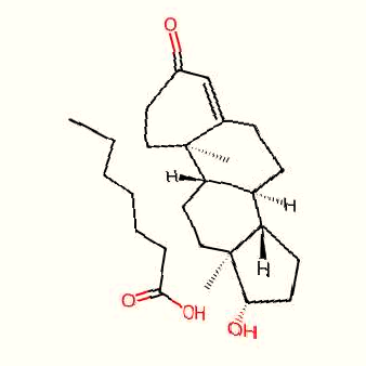 CCCCCCC(=O)O.C[C@]12CC[C@H]3[C@@H](CCC4=CC(=O)CC[C@@]43C)[C@@H]1CC[C@@H]2O